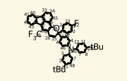 CC(C)(C)c1ccc(N(c2ccc(C(C)(C)C)cc2)c2ccc(C3(c4ccc(F)cc4)C=Cc4c(C(F)(F)F)c5c6c(cccc6c4O3)-c3ccccc3-5)cc2)cc1